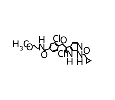 COCCNC(=O)c1cc(Cl)c(C(=O)c2c[nH]c3c(NC(=O)C4CC4)nccc23)c(Cl)c1